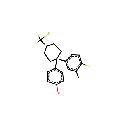 Cc1cc([C@]2(c3ccc(O)cc3)CC[C@H](C(F)(F)F)CC2)ccc1F